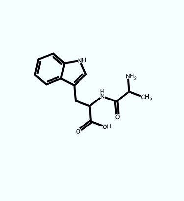 CC(N)C(=O)NC(Cc1c[nH]c2ccccc12)C(=O)O